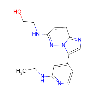 CCNc1cc(-c2cnc3ccc(NCCO)nn23)ccn1